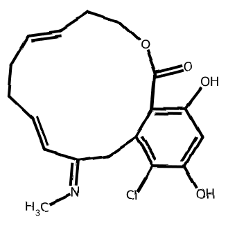 C/N=C1\C=C\CC/C=C/CCOC(=O)c2c(O)cc(O)c(Cl)c2C1